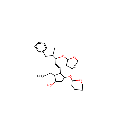 O=C(O)CC1C(O)CC(OC2CCCCO2)C1C=CC(OC1CCCCO1)C1Cc2ccccc2C1